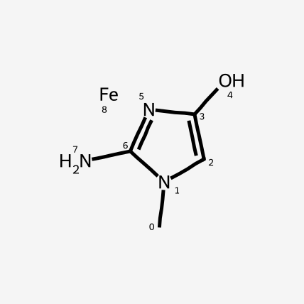 Cn1cc(O)nc1N.[Fe]